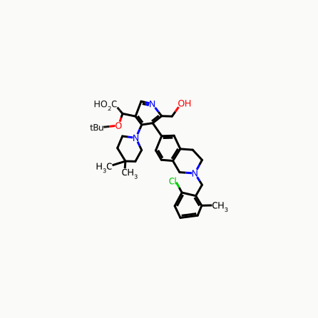 Cc1cccc(Cl)c1CN1CCc2cc(-c3c(CO)ncc(C(OC(C)(C)C)C(=O)O)c3N3CCC(C)(C)CC3)ccc2C1